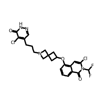 O=c1[nH]ncc(CCCN2CC3(CC(Oc4cccc5c(=O)n(C(F)F)c(Cl)cc45)C3)C2)c1Cl